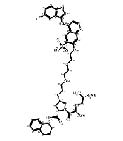 CN[C@@H](C)CN[C@H](C(=O)N1C[C@@H](OCCOCCOCCOc2cc3nccc(Nc4n[nH]c5ccc(F)cc45)c3cc2S(=O)(=O)C(C)(C)C)C[C@H]1C(=O)N[C@@H]1CCCc2ccccc21)C(C)(C)C